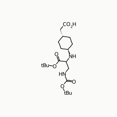 CC(C)(C)OC(=O)NCC(N[C@H]1CC[C@H](CC(=O)O)CC1)C(=O)OC(C)(C)C